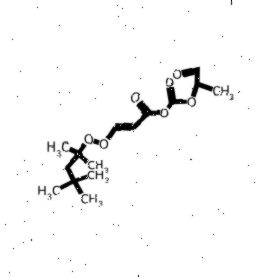 CC(C=O)OC(=O)OC(=O)C=COOC(C)(C)CC(C)(C)C